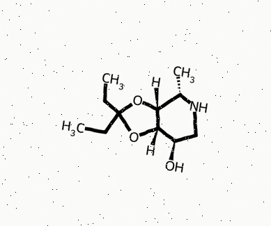 CCC1(CC)O[C@@H]2[C@H](O1)[C@H](C)NC[C@H]2O